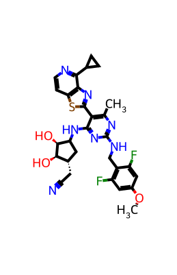 COc1cc(F)c(CNc2nc(C)c(-c3nc4c(C5CC5)nccc4s3)c(NC3C[C@H](CC#N)[C@@H](O)[C@H]3O)n2)c(F)c1